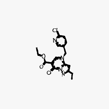 CCOC(=O)c1cn(Cc2ccc(Cl)nc2)c2cc(CC)nn2c1=O